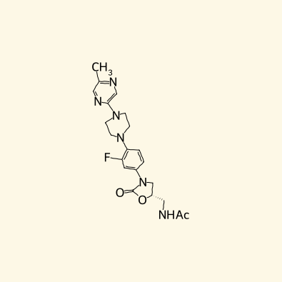 CC(=O)NC[C@H]1CN(c2ccc(N3CCN(c4cnc(C)cn4)CC3)c(F)c2)C(=O)O1